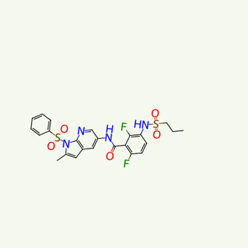 CCCS(=O)(=O)Nc1ccc(F)c(C(=O)Nc2cnc3c(c2)cc(C)n3S(=O)(=O)c2ccccc2)c1F